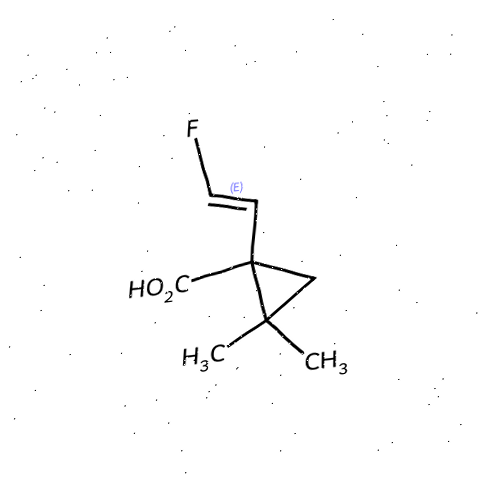 CC1(C)CC1(/C=C/F)C(=O)O